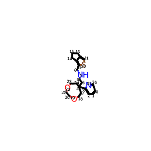 c1ccc(C2(CCNCc3scc4c3CCC4)CCOCCOCC2)nc1